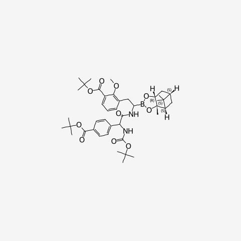 COc1c(CC(NC(=O)C(NC(=O)OC(C)(C)C)c2ccc(C(=O)OC(C)(C)C)cc2)B2O[C@@H]3C[C@@H]4C[C@@H](C4(C)C)[C@]3(C)O2)cccc1C(=O)OC(C)(C)C